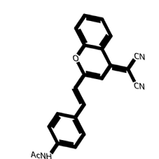 CC(=O)Nc1ccc(/C=C/C2=CC(=C(C#N)C#N)c3ccccc3O2)cc1